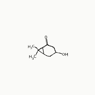 CC1(C)C2CC(O)CC(=O)C21